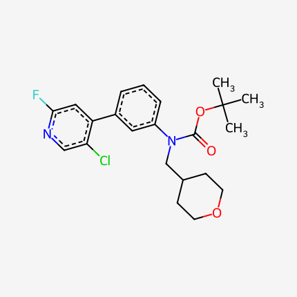 CC(C)(C)OC(=O)N(CC1CCOCC1)c1cccc(-c2cc(F)ncc2Cl)c1